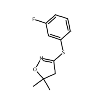 CC1(C)CC(Sc2[c]ccc(F)c2)=NO1